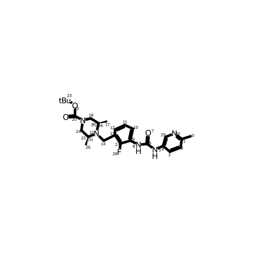 Cc1ccc(NC(=O)Nc2cccc(CN3[C@H](C)CN(C(=O)OC(C)(C)C)C[C@@H]3C)c2F)cn1